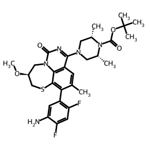 CO[C@@H]1CSc2c(-c3cc(N)c(F)cc3F)c(C)cc3c(N4C[C@@H](C)N(C(=O)OC(C)(C)C)[C@@H](C)C4)nc(=O)n(c23)C1